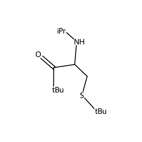 CC(C)NC(CSC(C)(C)C)C(=O)C(C)(C)C